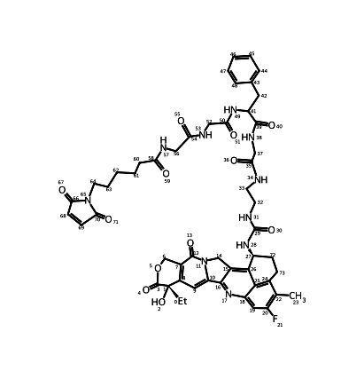 CC[C@@]1(O)C(=O)OCc2c1cc1n(c2=O)Cc2c-1nc1cc(F)c(C)c3c1c2[C@@H](NC(=O)NCCNC(=O)CNC(=O)C(Cc1ccccc1)NC(=O)CNC(=O)CNC(=O)CCCCCN1C(=O)C=CC1=O)CC3